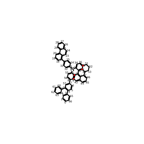 c1ccc(-c2ccc(-c3ccc(N(c4ccc(-c5cccc6c5ccc5ccccc56)cc4)c4ccccc4-c4cccc5cccc(C6CCCCC6)c45)cc3)cc2-c2ccccc2)cc1